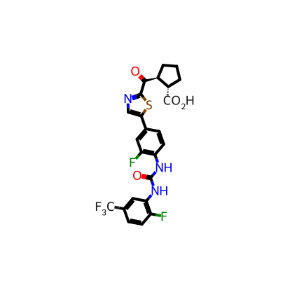 O=C(Nc1ccc(-c2cnc(C(=O)[C@H]3CCC[C@@H]3C(=O)O)s2)cc1F)Nc1cc(C(F)(F)F)ccc1F